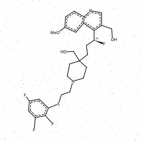 COc1ccc2ncc(CO)c([C@@H](F)CCC3(CO)CCN(CCSc4cc(F)cc(F)c4F)CC3)c2c1